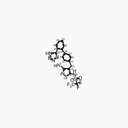 CCCc1nsc(NS(=O)(=O)C(F)(F)C(F)(F)F)c1Cc1ccc(-c2ccccc2-c2nnn[nH]2)cc1